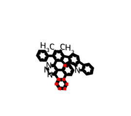 Cc1c(C)c(-c2ccccc2)c(-c2nnnc(-c3ccccc3)c2-c2ccccc2-c2ccccc2)c2c1-c1ccc3c(c1=C2)=Nc1ccccc1-3